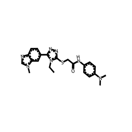 CCn1c(SCC(=O)Nc2ccc(N(C)C)cc2)nnc1-c1ccc2ncn(C)c2c1